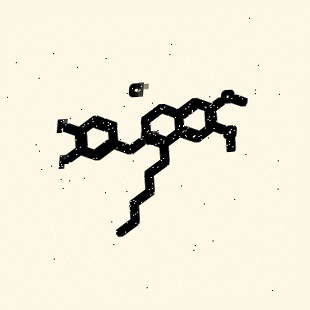 CCCCCCC1=[N+](Cc2ccc(F)c(F)c2)CCc2cc(OC)c(OC)cc21.[Cl-]